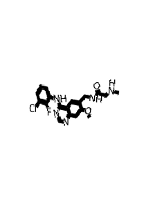 CNCC(=O)NCc1cc2c(Nc3cccc(Cl)c3F)ncnc2cc1OC